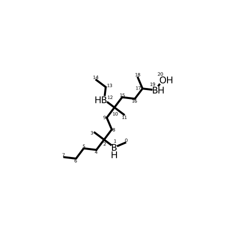 CBC(C)(CCCC)CCC(C)(BCC)CCC(C)BO